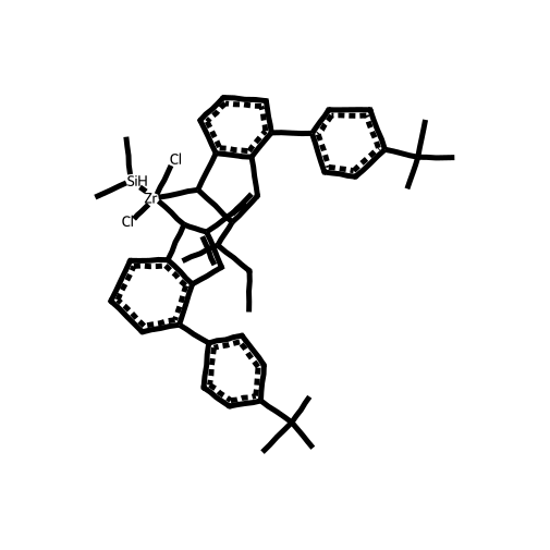 CCC(C)C1=Cc2c(-c3ccc(C(C)(C)C)cc3)cccc2[CH]1[Zr]([Cl])([Cl])([CH]1C(C)=Cc2c(-c3ccc(C(C)(C)C)cc3)cccc21)[SiH](C)C